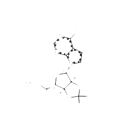 COC[C@H]1O[C@@H](n2ccc3c(Cl)ncnc32)[C@@H]2OC(C)(C)O[C@]12C